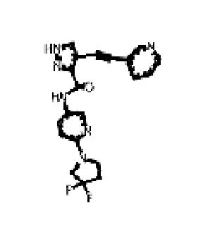 O=C(Nc1ccc(N2CCC(F)(F)C2)nc1)c1n[nH]cc1C#Cc1cccnc1